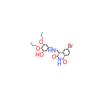 CCCOc1cc(CN/C=C2\C(=O)NC(=O)c3ccc(Br)cc32)cc(O)c1OCCC